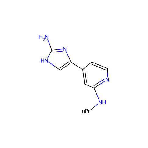 CCCNc1cc(-c2c[nH]c(N)n2)ccn1